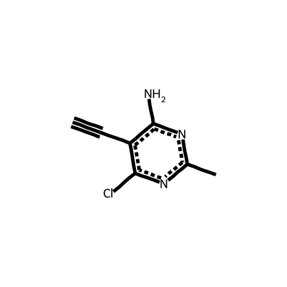 C#Cc1c(N)nc(C)nc1Cl